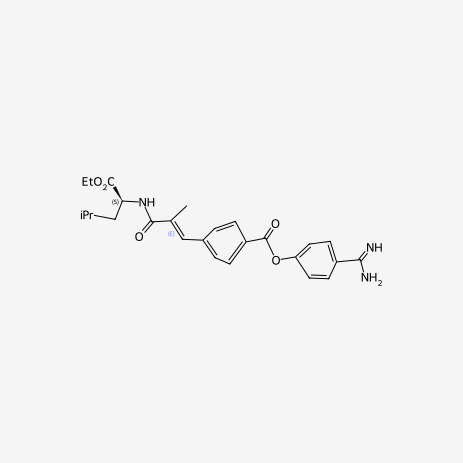 CCOC(=O)[C@H](CC(C)C)NC(=O)/C(C)=C/c1ccc(C(=O)Oc2ccc(C(=N)N)cc2)cc1